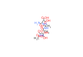 CC(=O)N[C@@H](C=O)[C@@H](OC(C)C(=O)NC(C)C(=O)NC(CC(C(=O)O)C(=O)O)C(N)=O)[C@H](O)[C@H](O)CO